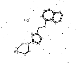 Cl.c1ccc2c(CCc3csc(C4CCNCC4)n3)cccc2c1